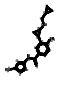 Cc1nnc(NC(=O)c2ccc(C)c(C3CC3NCC3CC3)c2)s1